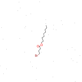 CCCCCCCCCOC(=O)CCCBr